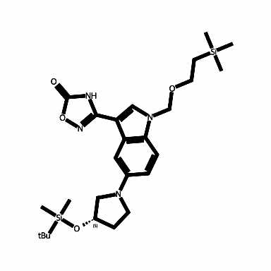 CC(C)(C)[Si](C)(C)O[C@H]1CCN(c2ccc3c(c2)c(-c2noc(=O)[nH]2)cn3COCC[Si](C)(C)C)C1